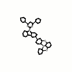 c1ccc(-c2cc(-c3ccccc3)nc(-n3c4ccccc4c4cc(-c5ccc6c(c5)Oc5cccc7c5N6c5ccccc5O7)ccc43)n2)cc1